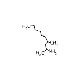 CCCCCCC(C)CC(C)N